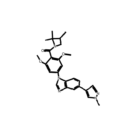 COc1cc(-n2cnc3cc(-c4cnn(C)c4)ccc32)cc(OC)c1C(=O)N1CC(C)C1(C)C